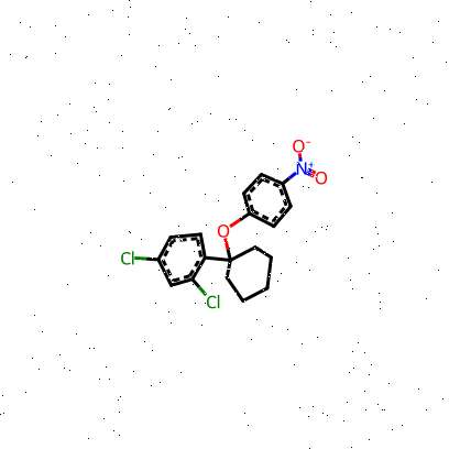 O=[N+]([O-])c1ccc(OC2(c3ccc(Cl)cc3Cl)CCCCC2)cc1